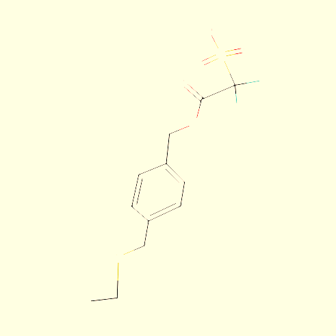 CCSCc1ccc(COC(=O)C(F)(F)S(=O)(=O)O)cc1